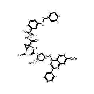 C=C[C@@H]1C[C@]1(NC(=O)[C@@H]1C[C@@H](Oc2cc(-c3ccccc3)nc3cc(OC)ccc23)C[C@@H]1NC(C)=O)C(=O)NS(=O)(=O)c1cccc(OCc2ccccc2)c1